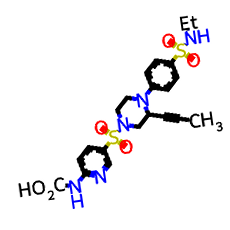 CC#CC1CN(S(=O)(=O)c2ccc(NC(=O)O)nc2)CCN1c1ccc(S(=O)(=O)NCC)cc1